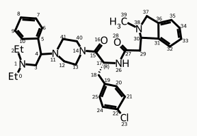 CCN(CC)CC(c1ccccc1)N1CCN(C(=O)[C@@H](Cc2ccc(Cl)cc2)NC(=O)CC2c3ccccc3CN2C)CC1